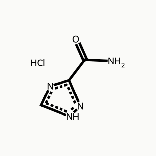 Cl.NC(=O)c1nc[nH]n1